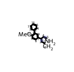 C=C/C=C(\C=C/N)c1ccc(OC)c(-c2ccccc2)c1